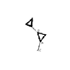 CC(=O)[C@@H]1C[C@H]1C1CC1